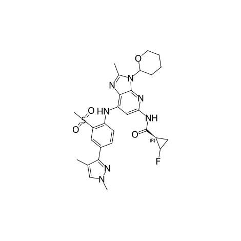 Cc1cn(C)nc1-c1ccc(Nc2cc(NC(=O)[C@H]3CC3F)nc3c2nc(C)n3C2CCCCO2)c(S(C)(=O)=O)c1